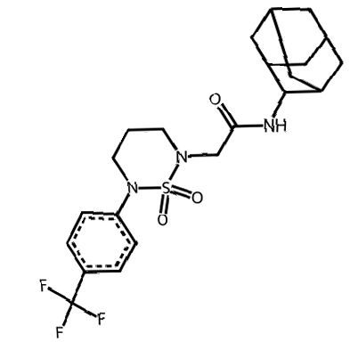 O=C(CN1CCCN(c2ccc(C(F)(F)F)cc2)S1(=O)=O)NC1C2CC3CC(C2)CC1C3